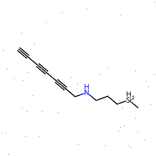 C#CC#CC#CCNCCC[SiH2]C